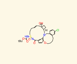 CC(C)(C)OC(=O)N[S@]1(=O)=NC(=O)c2ccc3c(c2)N(Cc2ccc(Cl)cc2CCCCO3)C[C@@H]2CC[C@H]2[C@@H](O)/C=C/CCC1